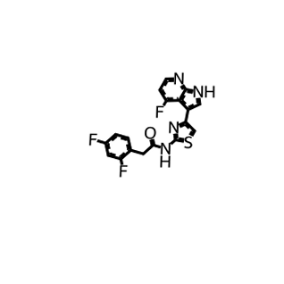 O=C(Cc1ccc(F)cc1F)Nc1nc(-c2c[nH]c3nccc(F)c23)cs1